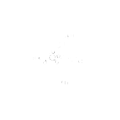 CCCCCCCCOc1cc(C(=O)CC)cc(OCCCCCCCC)c1OCCCCCCCC